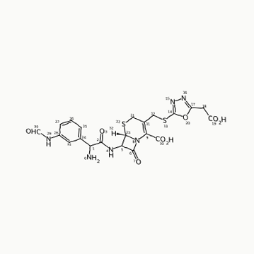 NC(C(=O)NC1C(=O)N2C(C(=O)O)=C(CSc3nnc(CC(=O)O)o3)CS[C@@H]12)c1cccc(NC=O)c1